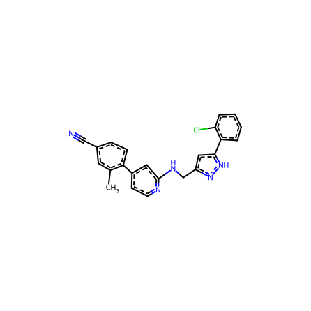 Cc1cc(C#N)ccc1-c1ccnc(NCc2cc(-c3ccccc3Cl)[nH]n2)c1